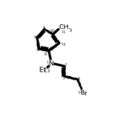 CCN(C=CCBr)c1cccc(C)c1